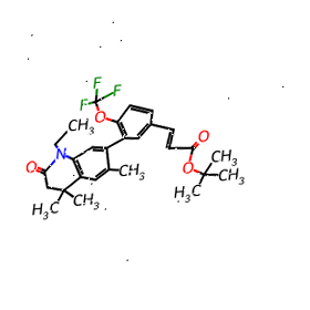 CCN1C(=O)CC(C)(C)c2cc(C)c(-c3cc(C=CC(=O)OC(C)(C)C)ccc3OC(F)(F)F)cc21